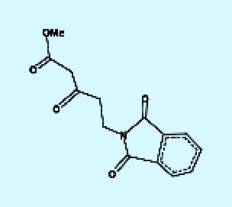 COC(=O)CC(=O)CCN1C(=O)c2ccccc2C1=O